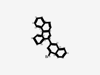 Brc1cc(-c2cc3ccc4ccccc4c3c3ccccc23)cc2ccccc12